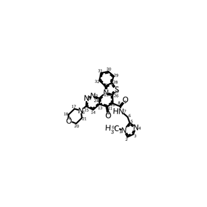 Cn1ccnc1CNC(=O)c1c(=O)c2cc(N3CCOCC3)nnc2n2c1sc1ccccc12